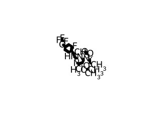 C[C@H](Nc1nc(Cl)cc(N2C(=O)OC[C@@H]2[C@@H](C)OC(C)(C)C)n1)c1ccc(OC(F)(F)F)cc1F